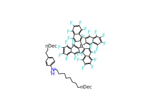 CCCCCCCCCCCCCCCCCC[NH+](C)c1ccc(CCCCCCCCCCCC)cc1.Fc1c(F)c(F)c2c(F)c([B-](c3c(F)c(F)c4c(F)c(F)c(F)c(F)c4c3F)(c3c(F)c(F)c4c(F)c(F)c(F)c(F)c4c3F)c3c(F)c(F)c4c(F)c(F)c(F)c(F)c4c3F)c(F)c(F)c2c1F